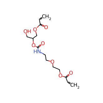 C=CC(=O)OCCOCCNC(=O)OC(CO)COC(=O)C=C